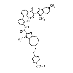 CN1CCc2c(nc(C(=O)Nc3cccc(-c4cccc(NC(=O)c5nc6c(n5C)CCC(CCc5ccc(C(=O)O)cc5)CCC6)c4Cl)c3Cl)n2C)C1